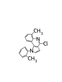 Cc1ccccc1-n1ccc2c(Cl)nc3c(C)cccc3c21